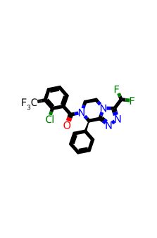 O=C(c1cccc(C(F)(F)F)c1Cl)N1CCn2c(C(F)F)nnc2[C@H]1C1C=CC=CC1